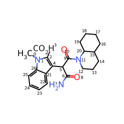 Cn1c(C(=O)O)c(C(C(N)=O)C(=O)N2CCCC3CCCCC32)c2ccccc21